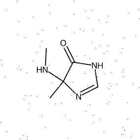 CNC1(C)N=CNC1=O